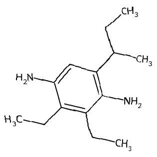 CCc1c(N)cc(C(C)CC)c(N)c1CC